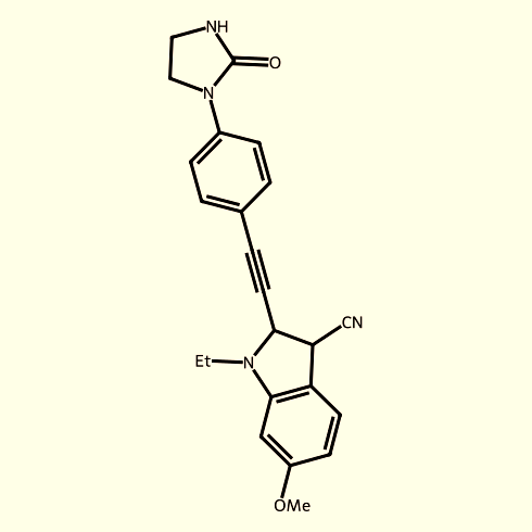 CCN1c2cc(OC)ccc2C(C#N)C1C#Cc1ccc(N2CCNC2=O)cc1